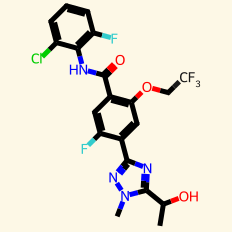 CC(O)c1nc(-c2cc(OCC(F)(F)F)c(C(=O)Nc3c(F)cccc3Cl)cc2F)nn1C